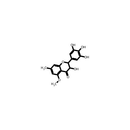 COc1cc(C)cc2c1C(=O)C(O)C(c1cc(O)c(O)c(O)c1)O2